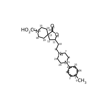 Cc1ccc(N2CCN(CCC3CC4(CCN(C(=O)O)CC4)C(=O)O3)CC2)cc1